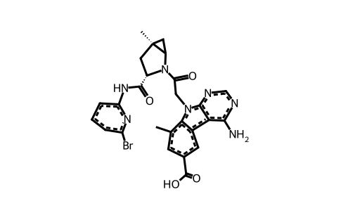 Cc1cc(C(=O)O)cc2c3c(N)ncnc3n(CC(=O)N3C4C[C@]4(C)C[C@H]3C(=O)Nc3cccc(Br)n3)c12